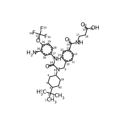 CC(C)(C)C1CCC(N(Cc2ccc(C(=O)NCCC(=O)O)cc2)C(=O)Nc2ccc(OC(F)(F)F)c(N)c2)CC1